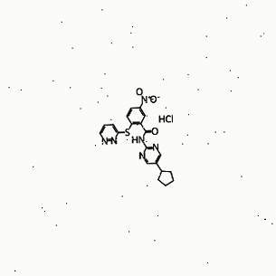 Cl.O=C(Nc1ncc(C2CCCC2)cn1)c1cc([N+](=O)[O-])ccc1Sc1cccnn1